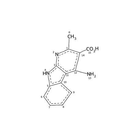 Cc1nc2[nH]c3ccccc3c2c(N)c1C(=O)O